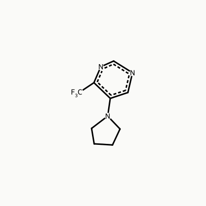 FC(F)(F)c1ncncc1N1CCCC1